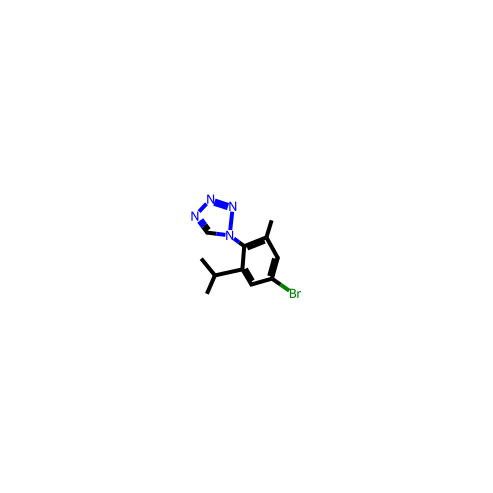 Cc1cc(Br)cc(C(C)C)c1-n1cnnn1